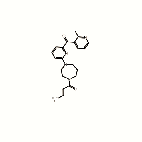 Cc1ncccc1C(=O)c1cccc(N2CCCN(C(=O)CCC(F)(F)F)CC2)n1